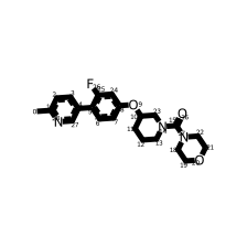 Cc1ccc(-c2[c]cc(OC3CCCN(C(=O)N4CCOCC4)C3)cc2F)cn1